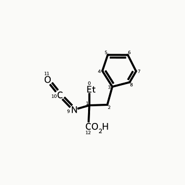 CCC(Cc1ccccc1)(N=C=O)C(=O)O